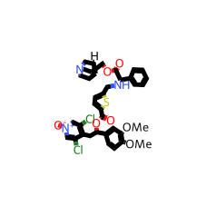 COc1ccc(C(Cc2c(Cl)c[n+]([O-])cc2Cl)OC(=O)c2ccc(CNC(C(=O)OC[C@@H]3CN4CCC3CC4)c3ccccc3)s2)cc1OC